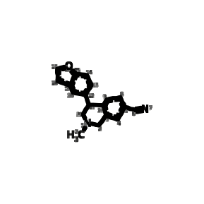 CN1Cc2cc(C#N)ccc2C(c2ccc3occc3c2)C1